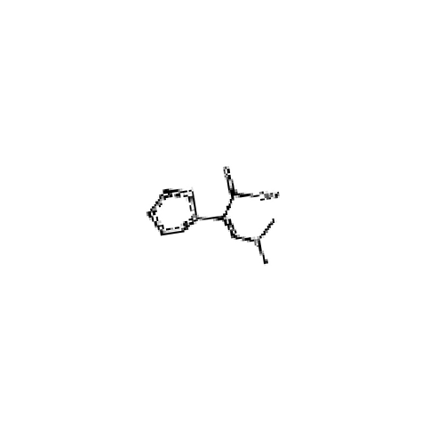 COC(=O)C(=CN(C)C)c1ccccn1